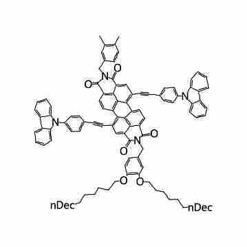 CCCCCCCCCCCCCCCCOc1ccc(CN2C(=O)c3ccc4c5c(C#Cc6ccc(-n7c8ccccc8c8ccccc87)cc6)cc6c7c(ccc(c8c(C#Cc9ccc(-n%10c%11ccccc%11c%11ccccc%11%10)cc9)cc(c3c48)C2=O)c75)C(=O)N(Cc2ccc(C)c(C)c2)C6=O)cc1OCCCCCCCCCCCCCCCC